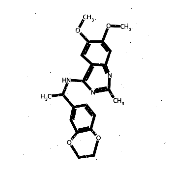 COc1cc2nc(C)nc(NC(C)c3ccc4c(c3)OCCO4)c2cc1OC